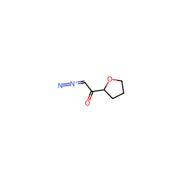 [N-]=[N+]=CC(=O)C1CCCO1